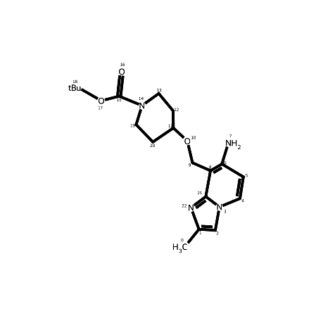 Cc1cn2ccc(N)c(COC3CCN(C(=O)OC(C)(C)C)CC3)c2n1